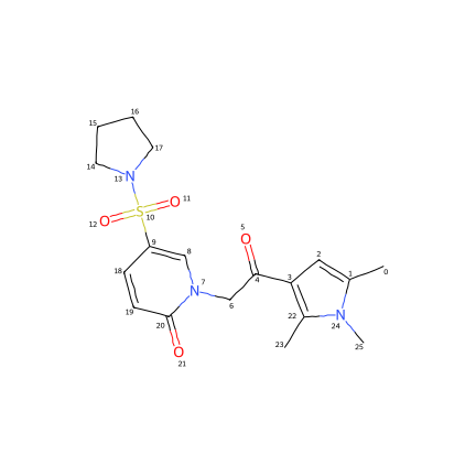 Cc1cc(C(=O)Cn2cc(S(=O)(=O)N3CCCC3)ccc2=O)c(C)n1C